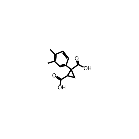 Cc1ccc(C2(C(=O)O)CC2C(=O)O)cc1C